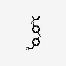 C=CC(C)Oc1ccc(Sc2ccc(CCl)cc2)cc1